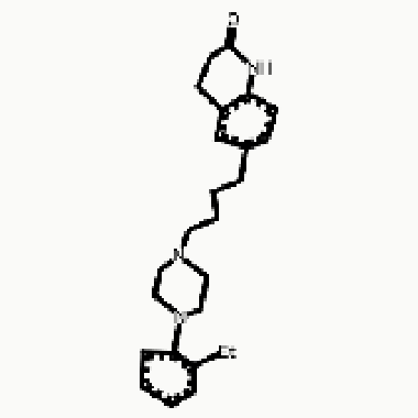 CCc1ccccc1N1CCN(CCCCc2ccc3c(c2)CCC(=O)N3)CC1